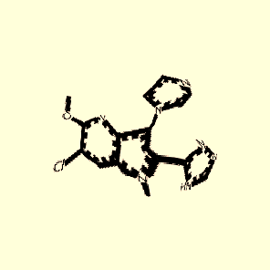 COc1nc2c(-n3ccnc3)c(-c3nnc[nH]3)n(C)c2cc1Cl